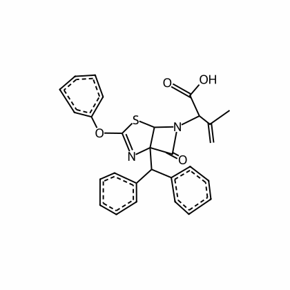 C=C(C)C(C(=O)O)N1C(=O)C2(C(c3ccccc3)c3ccccc3)N=C(Oc3ccccc3)SC12